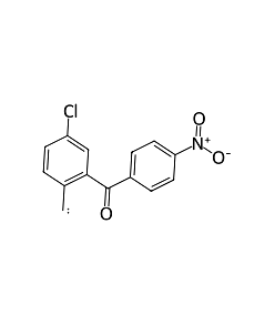 [CH]c1ccc(Cl)cc1C(=O)c1ccc([N+](=O)[O-])cc1